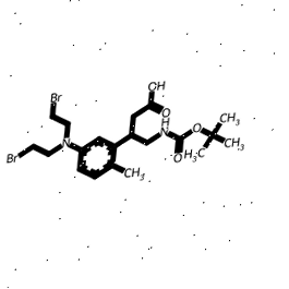 Cc1ccc(N(CCBr)CCBr)cc1C(CNC(=O)OC(C)(C)C)CC(=O)O